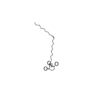 CCCCCCCC/C=C\CCCCCCCCON1C(=O)CCC1=O